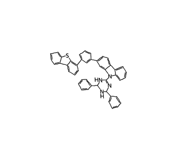 c1ccc(C2N=C(n3c4ccccc4c4ccc(-c5cccc(-c6cccc7c6sc6ccccc67)c5)cc43)NC(c3ccccc3)N2)cc1